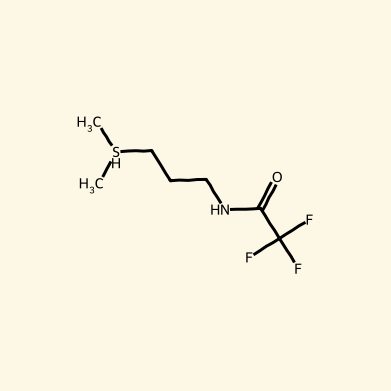 C[SH](C)CCCNC(=O)C(F)(F)F